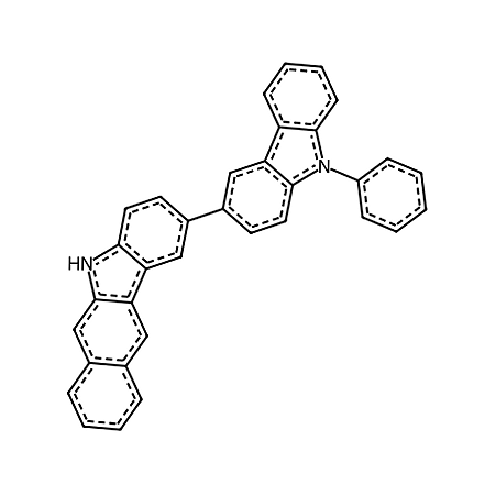 c1ccc(-n2c3ccccc3c3cc(-c4ccc5[nH]c6cc7ccccc7cc6c5c4)ccc32)cc1